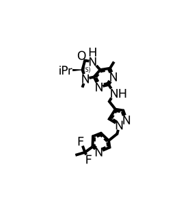 Cc1nc(NCc2cnn(Cc3ccc(C(C)(F)F)nc3)c2)nc2c1NC(=O)[C@H](C(C)C)N2C